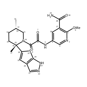 COc1ncc(NC(=O)C(=O)N2C[C@@H](C)CC[C@@]2(C)c2cc3cn[nH]c3s2)cc1C(N)=O